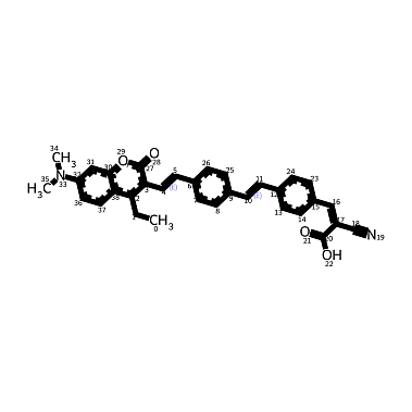 CCc1c(/C=C/c2ccc(/C=C/c3ccc(C=C(C#N)C(=O)O)cc3)cc2)c(=O)oc2cc(N(C)C)ccc12